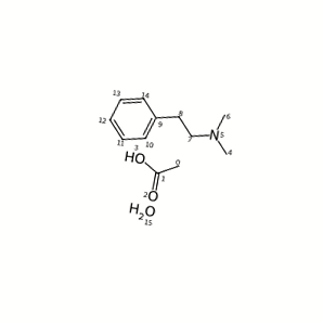 CC(=O)O.CN(C)CCc1ccccc1.O